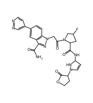 NC(=O)c1nn(CC(=O)N2CC(F)CC2C(=O)NC2C=CN(C3CCOC3=O)N2)c2ccc(-c3ccnnc3)cc12